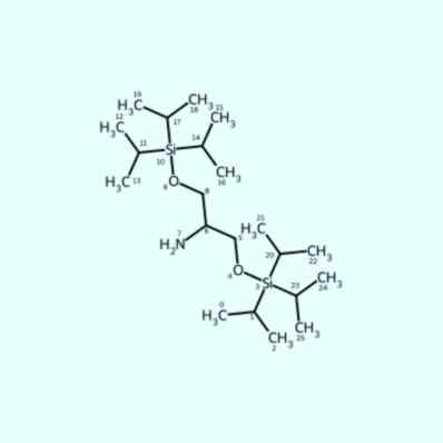 CC(C)[Si](OCC(N)CO[Si](C(C)C)(C(C)C)C(C)C)(C(C)C)C(C)C